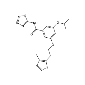 Cc1ncsc1CCOc1cc(OC(C)C)cc(C(=O)Nc2nncs2)c1